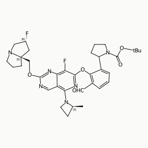 C[C@H]1CCN1c1nc(Oc2c(C=O)cccc2C2CCCN2C(=O)OC(C)(C)C)c(F)c2nc(OC[C@@]34CCCN3C[C@H](F)C4)ncc12